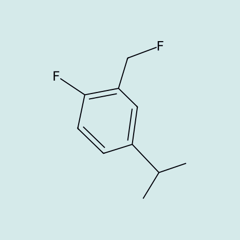 CC(C)c1ccc(F)c(CF)c1